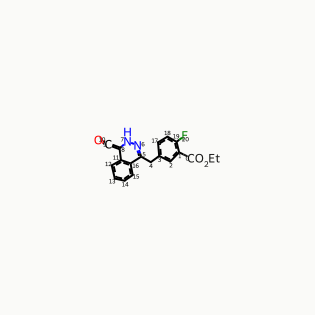 CCOC(=O)c1cc(CC2=NNC(=C=O)c3ccccc32)ccc1F